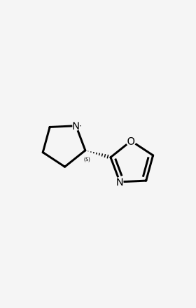 c1coc([C@@H]2CCC[N]2)n1